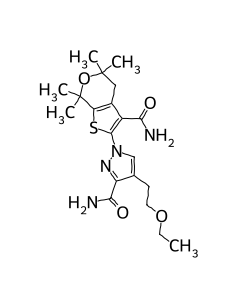 CCOCCc1cn(-c2sc3c(c2C(N)=O)CC(C)(C)OC3(C)C)nc1C(N)=O